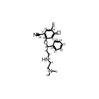 CN(C)CCNCC[C@@H](Oc1cc(Cl)c(F)cc1C#N)c1ccccc1